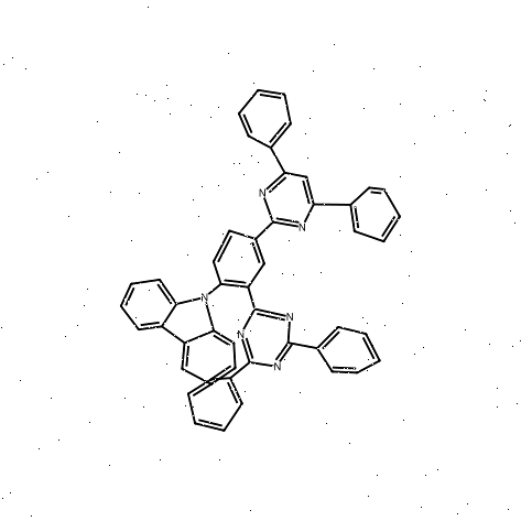 c1ccc(-c2cc(-c3ccccc3)nc(-c3ccc(-n4c5ccccc5c5ccccc54)c(-c4nc(-c5ccccc5)nc(-c5ccccc5)n4)c3)n2)cc1